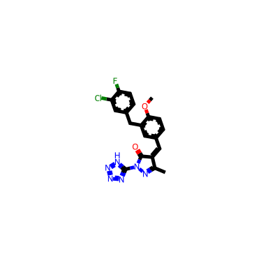 COc1ccc(/C=C2\C(=O)N(c3nnn[nH]3)N=C2C)cc1Cc1ccc(F)c(Cl)c1